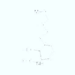 COCOCCC1CC=CC(NC(=O)O)C1C=O